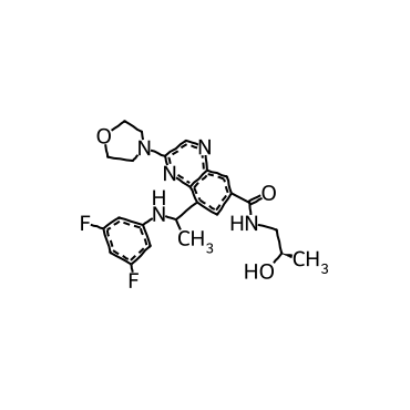 CC(Nc1cc(F)cc(F)c1)c1cc(C(=O)NC[C@@H](C)O)cc2ncc(N3CCOCC3)nc12